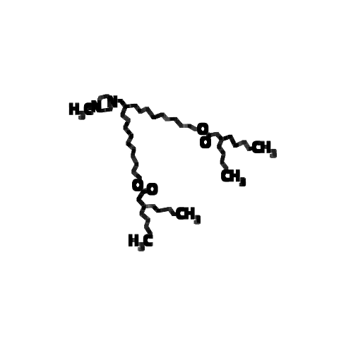 CCCCCC(CCCCC)CC(=O)OCCCCCCCCCCC(CCCCCCCCCCOC(=O)CC(CCCCC)CCCCC)CN1CCN(C)CC1